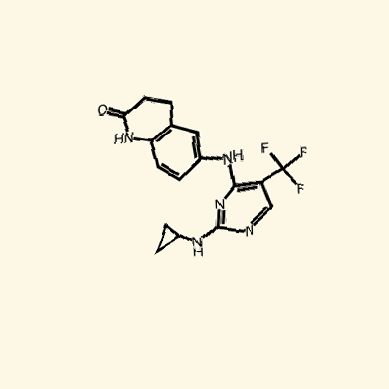 O=C1CCc2cc(Nc3nc(NC4CC4)ncc3C(F)(F)F)ccc2N1